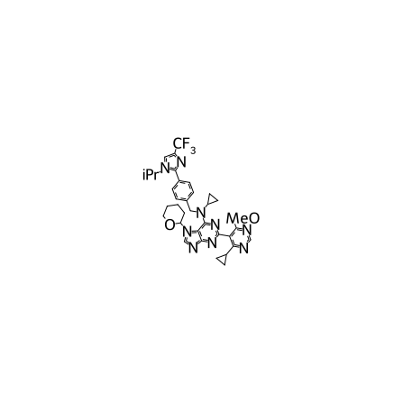 COc1ncnc(C2CC2)c1-c1nc(N(Cc2ccc(-c3nc(C(F)(F)F)cn3C(C)C)cc2)C2CC2)c2c(ncn2C2CCCCO2)n1